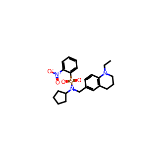 CCN1CCCc2cc(CN(C3CCCC3)S(=O)(=O)c3ccccc3[N+](=O)[O-])ccc21